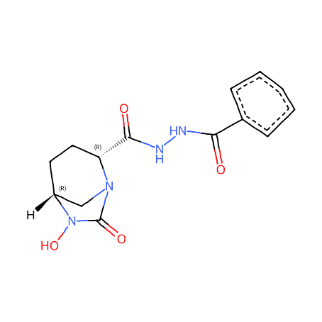 O=C(NNC(=O)[C@H]1CC[C@@H]2CN1C(=O)N2O)c1ccccc1